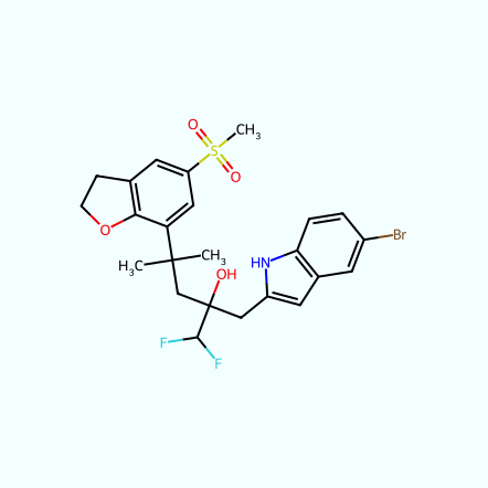 CC(C)(CC(O)(Cc1cc2cc(Br)ccc2[nH]1)C(F)F)c1cc(S(C)(=O)=O)cc2c1OCC2